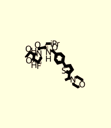 CC(C)C[C@H](NC(=O)c1ccc(-c2ccc(C(C)N3CCOCC3)s2)cc1)C(=O)N1C[C@H](F)[C@H]2OCC(=O)[C@H]21